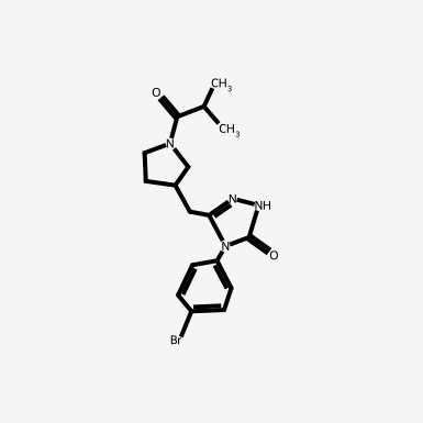 CC(C)C(=O)N1CCC(Cc2n[nH]c(=O)n2-c2ccc(Br)cc2)C1